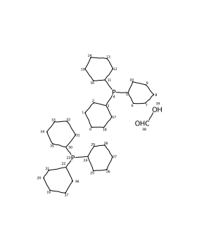 C1CCC(P(C2CCCCC2)C2CCCCC2)CC1.C1CCC(P(C2CCCCC2)C2CCCCC2)CC1.O=CO